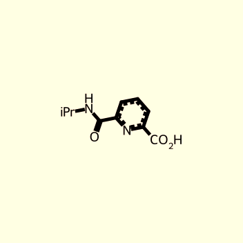 CC(C)NC(=O)c1cccc(C(=O)O)n1